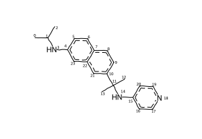 CC(C)Nc1ccc2ccc(C(C)(C)Nc3ccncc3)cc2c1